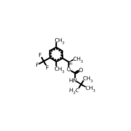 Cc1cc([C@@H](C)OC(=O)NC(C)(C)C)c(C)c(C(F)(F)F)c1